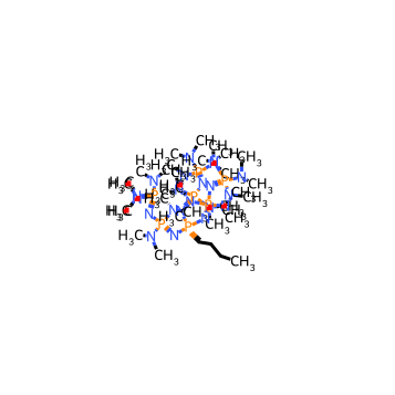 CCCC=P(N=P(N=P(N(C)C)(N(C)C)N(C)C)(N(C)C)N(C)C)(N=P(N=P(N(C)C)(N(C)C)N(C)C)(N(C)C)N(C)C)N=P(N=P(N(C)C)(N(C)C)N(C)C)(N(C)C)N(C)C